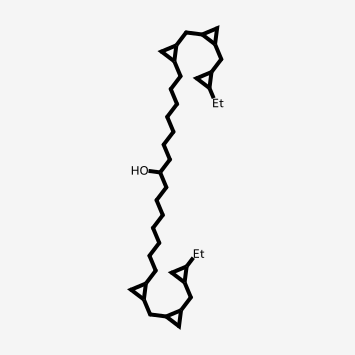 CCC1CC1CC1CC1CC1CC1CCCCCCCC(O)CCCCCCCC1CC1CC1CC1CC1CC1CC